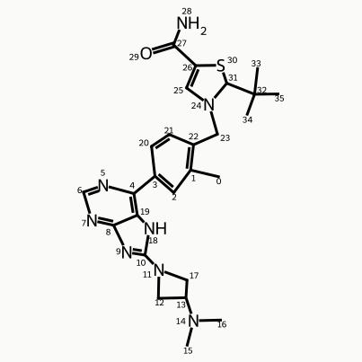 Cc1cc(-c2ncnc3nc(N4CC(N(C)C)C4)[nH]c23)ccc1CN1C=C(C(N)=O)SC1C(C)(C)C